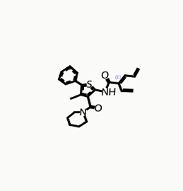 C=C/C=C(\C=C)C(=O)Nc1sc(-c2ccccc2)c(C)c1C(=O)N1CCCCC1